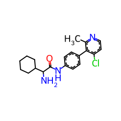 Cc1nccc(Cl)c1-c1ccc(NC(=O)C(N)C2CCCCC2)cc1